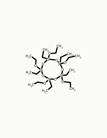 CCO[Si]1(CC)O[Si](CC)(OCC)O[Si](CC)(OCC)O[Si](CC)(OCC)O[Si](CC)(OCC)O1